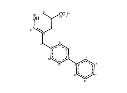 CC(C/C(Cc1ccc(-c2ccccc2)cc1)=N\O)C(=O)O